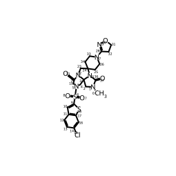 CN1CC23CN(S(=O)(=O)c4cc5ccc(Cl)cc5s4)CC(=O)N2CC2(CCN(C4=NOCC4)CC2)N3C1=O